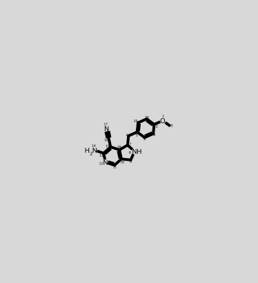 COc1ccc(CC2NCc3cnc(N)c(C#N)c32)cc1